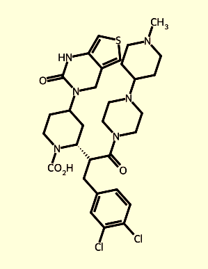 CN1CCC(N2CCN(C(=O)C(Cc3ccc(Cl)c(Cl)c3)[C@H]3CC(N4Cc5cscc5NC4=O)CCN3C(=O)O)CC2)CC1